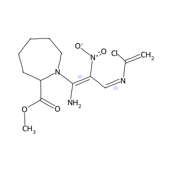 C=C(Cl)/N=C\C(=C(/N)N1CCCCCC1C(=O)OC)[N+](=O)[O-]